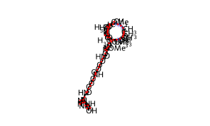 CO[C@H]1C[C@@H]2CC[C@@H](C)[C@@](O)(O2)C(=O)C(=O)N2CCCC[C@H]2C(=O)O[C@H]([C@H](C)C[C@@H]2CC[C@H](n3cc(COC(=O)NCCOCCOCCOCCC(=O)NCCOCCOCCOCCC(=O)NCCCCn4nc(-c5cc6cc(O)ccc6[nH]5)c5c(N)ncnc54)nn3)[C@H](OC)C2)C[C@@H](OC)[C@H](C)/C=C(\C)[C@@H](O)[C@@H](O)C(=O)[C@H](C)C[C@H](C)/C=C/C=C/C=C/1C